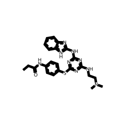 CCC(=O)Nc1ccc(Sc2nc(NCCN(C)C)nc(Nc3nc4ccccc4[nH]3)n2)cc1